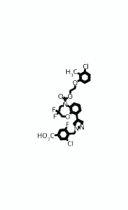 Cc1c(Cl)cccc1OCCOC(=O)N1CC(F)(F)COc2c(-c3cnn(Cc4c(F)cc(C(=O)O)cc4Cl)c3)cccc21